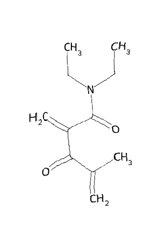 C=C(C)C(=O)C(=C)C(=O)N(CC)CC